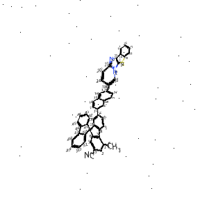 CC1CC(C#N)=CC2=C1c1ccc(-c3ccc4cc(-c5ccc6nc7c8ccccc8sc7n6c5)ccc4c3)cc1C21c2ccccc2-c2ccccc21